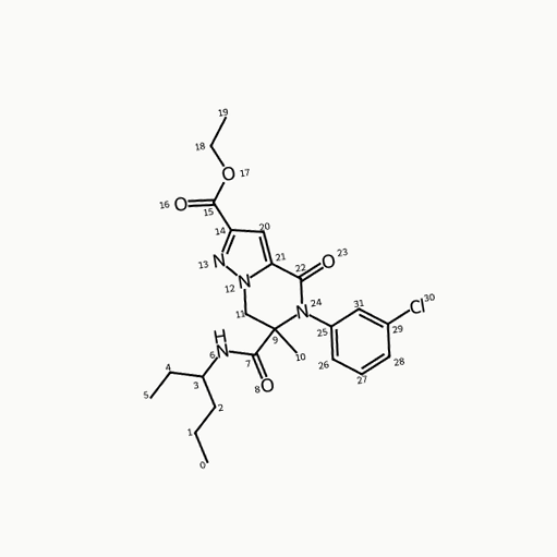 CCCC(CC)NC(=O)C1(C)Cn2nc(C(=O)OCC)cc2C(=O)N1c1cccc(Cl)c1